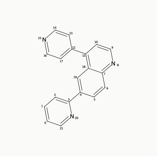 c1ccc(-c2ccc3nccc(-c4ccncc4)c3c2)nc1